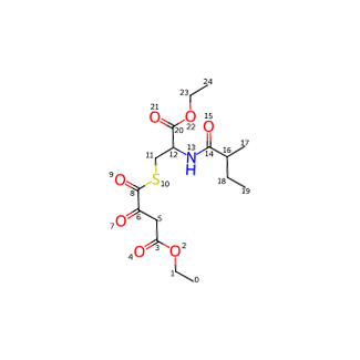 CCOC(=O)CC(=O)C(=O)SCC(NC(=O)C(C)CC)C(=O)OCC